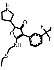 CCSCNC1=C(c2cccc(C(F)(F)F)c2)C(=O)C(C2CCNC2)O1